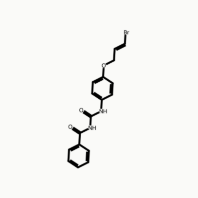 O=C(NC(=O)c1ccccc1)Nc1ccc(OCC=CBr)cc1